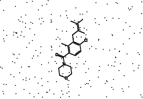 CC(C)=C(C)Cc1c(Cl)ccc(C(=O)N2CCOCC2)c1C